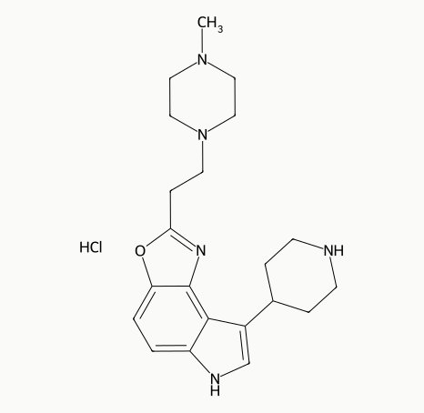 CN1CCN(CCc2nc3c(ccc4[nH]cc(C5CCNCC5)c43)o2)CC1.Cl